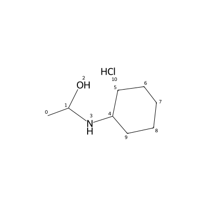 CC(O)NC1CCCCC1.Cl